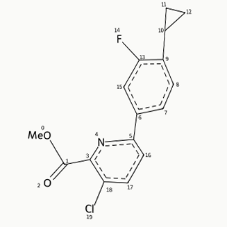 COC(=O)c1nc(-c2ccc(C3CC3)c(F)c2)ccc1Cl